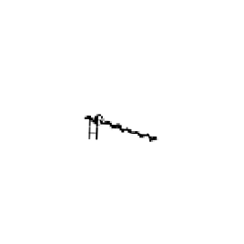 CCCCCCCCCCCCONCC